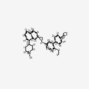 CCc1nnc(COc2ccc3cccc(C4CCN(C)CC4)c3c2)cc1-c1ccc(Cl)cc1